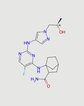 C[C@@H](O)Cn1cc(Nc2ncc(F)c(NC34CCC(CC3C(N)=O)C4)n2)cn1